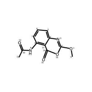 COc1nc2cccc(NC(C)=O)c2c(=O)o1